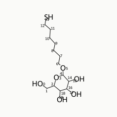 OCC1OC(OCCCCCCCS)C(O)C(O)C1O